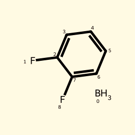 B.Fc1ccccc1F